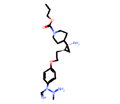 CCCOC(=O)N1CCC([C@@]2(N)C[C@H]2CCOc2ccc(N(C=N)N(C)N)cc2)CC1